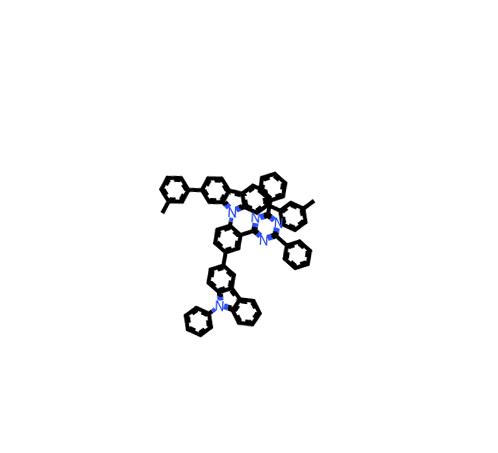 Cc1cccc(-c2ccc3c4ccc(-c5cccc(C)c5)cc4n(-c4ccc(-c5ccc6c(c5)c5ccccc5n6-c5ccccc5)cc4-c4nc(-c5ccccc5)nc(-c5ccccc5)n4)c3c2)c1